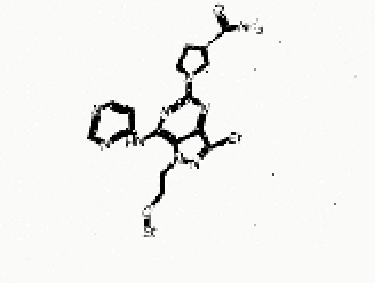 CCOCCn1nc(CC)c2nc(N3CC[C@@H](C(N)=O)C3)nc(Nc3ccncn3)c21